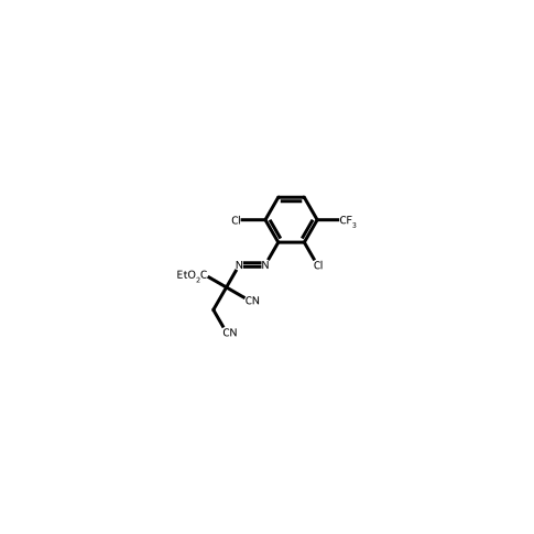 CCOC(=O)C(C#N)(CC#N)N=Nc1c(Cl)ccc(C(F)(F)F)c1Cl